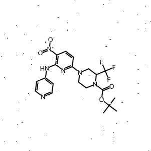 CC(C)(C)OC(=O)N1CCN(c2ccc([N+](=O)[O-])c(Nc3ccncc3)n2)CC1C(F)(F)F